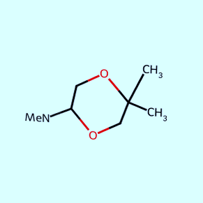 CNC1COC(C)(C)CO1